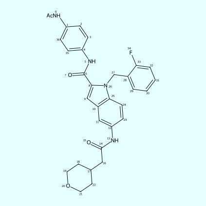 CC(=O)Nc1ccc(NC(=O)c2cc3cc(NC(=O)CC4CCOCC4)ccc3n2Cc2ccccc2F)cc1